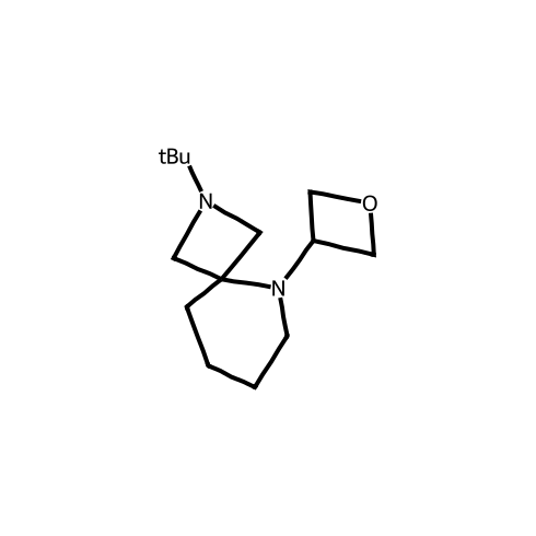 CC(C)(C)N1CC2(CCCCN2C2COC2)C1